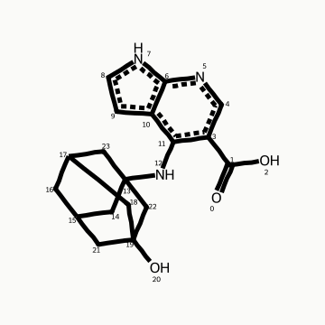 O=C(O)c1cnc2[nH]ccc2c1NC12CC3CC(CC(O)(C3)C1)C2